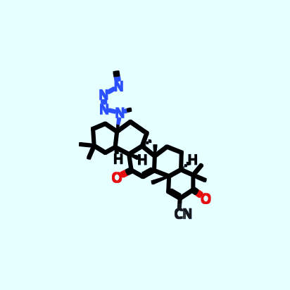 C=N/N=N\N(C)[C@]12CCC(C)(C)C[C@H]1[C@H]1C(=O)C=C3[C@@]4(C)C=C(C#N)C(=O)C(C)(C)[C@@H]4CC[C@@]3(C)[C@]1(C)CC2